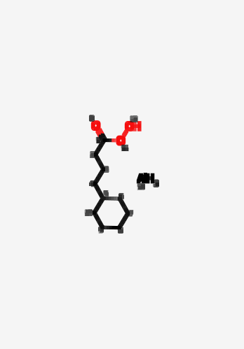 O=C(CCCC1CCCCC1)OO.[AlH3]